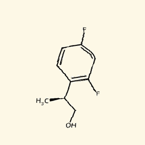 C[C@H](CO)c1ccc(F)cc1F